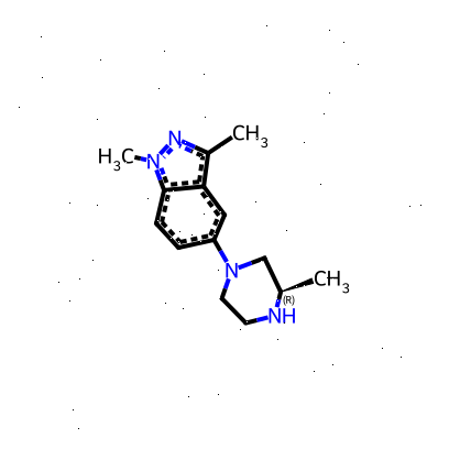 Cc1nn(C)c2ccc(N3CCN[C@H](C)C3)cc12